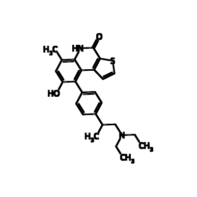 CCN(CC)CC(C)c1ccc(-c2c(O)cc(C)c3[nH]c(=O)c4sccc4c23)cc1